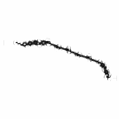 CCCCCC1CCC(c2ccc(-c3ccc(OC(=O)C4CCC(C(=O)OCCCCCC(=O)OCCCCCC(=O)OCCCCCC(=O)OCCCCCC(=O)OCCCCCCOc5ccc(C(=O)Oc6ccc(OC(C)=O)cc6)cc5)CC4)cc3)cc2)CC1